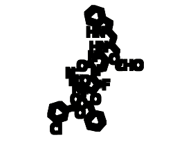 [N-]=[N+]=N[C@]1(COC(=O)c2cccc(Cl)c2)OC(n2ccc(NC(COC=O)Cc3cc4ccccc4[nH]3)nc2=O)[C@@H](F)C1OC(=O)c1ccccc1